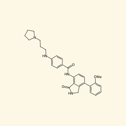 COc1ccccc1-c1ccc(NC(=O)c2ccc(NCCCN3CCCC3)cc2)c2c1CNC2=O